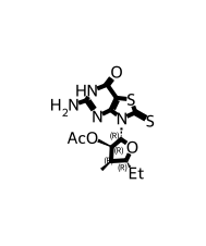 CC[C@H]1O[C@@H](n2c(=S)sc3c(=O)[nH]c(N)nc32)[C@H](OC(C)=O)[C@@H]1C